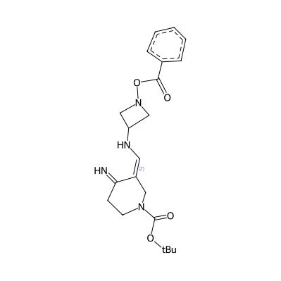 CC(C)(C)OC(=O)N1CCC(=N)/C(=C\NC2CN(OC(=O)c3ccccc3)C2)C1